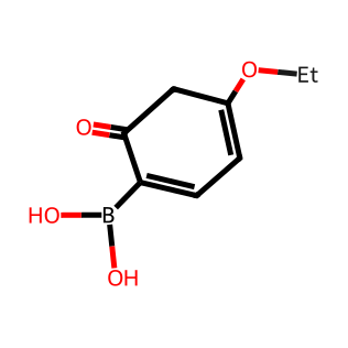 CCOC1=CC=C(B(O)O)C(=O)C1